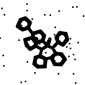 O=P1(c2ccc(-c3ccccc3)cc2)N(c2ccccc2)c2ccccc2-c2ccccc2N1c1ccccc1